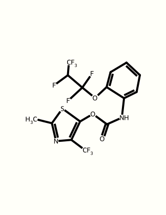 Cc1nc(C(F)(F)F)c(OC(=O)Nc2ccccc2OC(F)(F)C(F)C(F)(F)F)s1